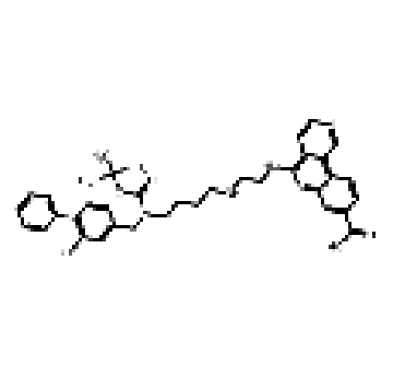 CC(C)(C)OC(=O)N(CCCCNCCNc1nc2cc(C(=O)O)ccc2c2cnccc12)Cc1ccc(-c2ccccc2)c(Cl)c1